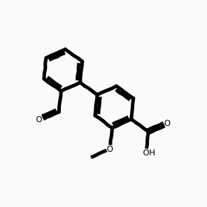 COc1cc(-c2ccccc2C=O)ccc1C(=O)O